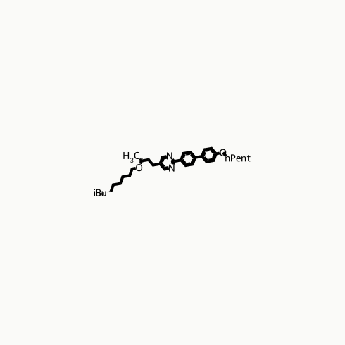 CCCCCOc1ccc(-c2ccc(-c3ncc(CC[C@H](C)OCCCCCC[C@@H](C)CC)cn3)cc2)cc1